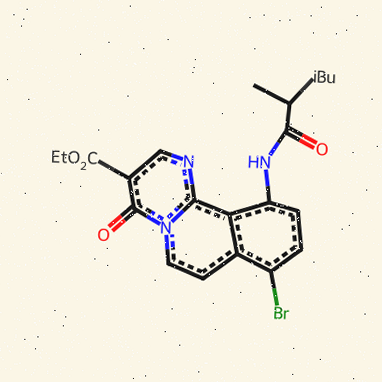 CCOC(=O)c1cnc2c3c(NC(=O)C(C)C(C)CC)ccc(Br)c3ccn2c1=O